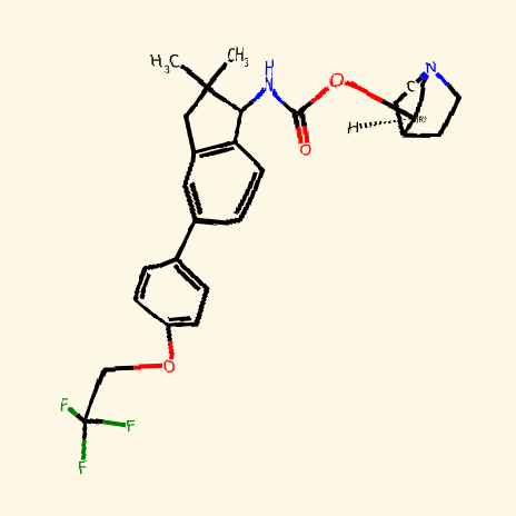 CC1(C)Cc2cc(-c3ccc(OCC(F)(F)F)cc3)ccc2C1NC(=O)O[C@H]1CN2CCC1CC2